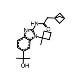 CC(C)(O)c1ccc2nc(NC(=O)CC34CC(C3)C4)n(C3(C)CCC3)c2c1